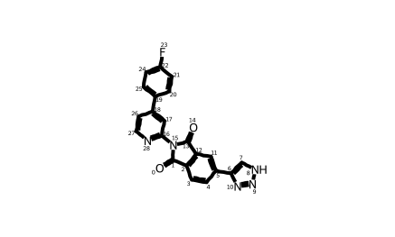 O=C1c2ccc(-c3c[nH]nn3)cc2C(=O)N1c1cc(-c2ccc(F)cc2)ccn1